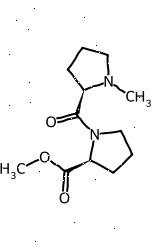 COC(=O)[C@@H]1CCCN1C(=O)[C@H]1CCCN1C